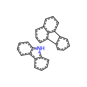 c1ccc2c(c1)-c1cccc3cccc-2c13.c1ccc2c(c1)[nH]c1ccccc12